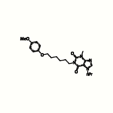 CCCn1cnc2c1c(=O)n(CCCCCCOc1ccc(OC)cc1)c(=O)n2C